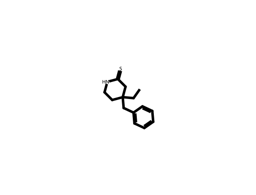 CCC1(Cc2ccccc2)CCNC(=S)C1